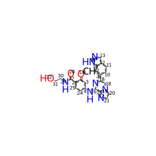 COc1cc(Nc2nc(-c3ccc4cn[nH]c4c3)cn3ccnc23)ccc1C(=O)NCCO